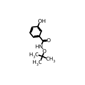 CC(C)(C)ONC(=O)c1cccc(O)c1